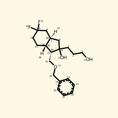 OCCCC1(O)C[C@@H]2CC(F)(F)CC[C@H]2[C@H]1COCc1ccccc1